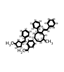 C=Cc1ccccc1.CC1CCC(=Cc2ccccc2)C1.CC1CCCC/C(c2ccccc2)=C(/C=Cc2ccccc2)C1